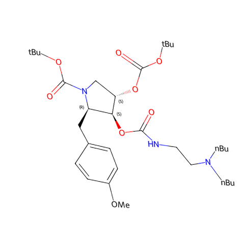 CCCCN(CCCC)CCNC(=O)O[C@@H]1[C@@H](OC(=O)OC(C)(C)C)CN(C(=O)OC(C)(C)C)[C@@H]1Cc1ccc(OC)cc1